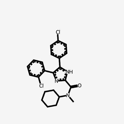 CN(C(=O)c1nc(-c2ccccc2Cl)c(-c2ccc(Cl)cc2)[nH]1)C1CCCCC1